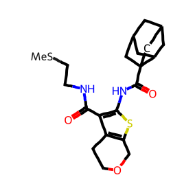 CSCCNC(=O)c1c(NC(=O)C23CC4CC(CC2C4)C3)sc2c1CCOC2